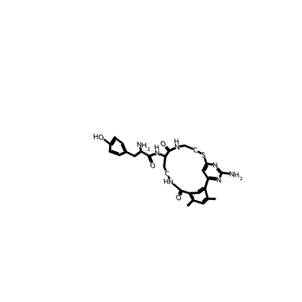 Cc1cc(C)c2cc1C(=O)NCCC(NC(=O)C(N)Cc1ccc(O)cc1)C(=O)NCCSc1cc-2nc(N)n1